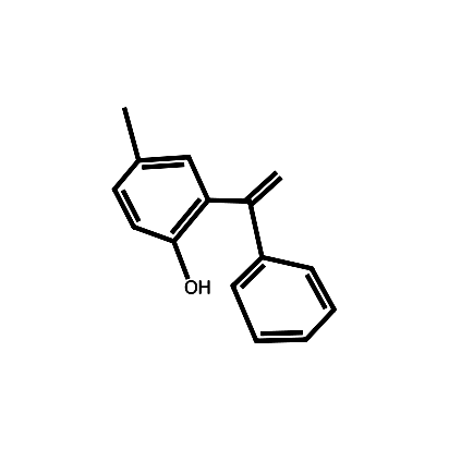 C=C(c1ccccc1)c1cc(C)ccc1O